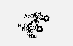 CC(=O)O[C@@H](C)[C@H](OCc1ccccc1)[C@H](CCC[C@](C)(NC(=O)OC(C)(C)C)C(=O)O)OCc1ccccc1